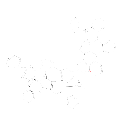 CC1(C)c2ccccc2-c2cc3c4ccccc4n(-c4c(-c5cccc(-c6cccc(-c7ccc8c9c7N(c7ccccc7)c7ccccc7B9c7ccccc7N8c7ccccc7)c6)c5)cccc4-c4nc(-c5ccccc5)nc(-c5ccccc5)n4)c3cc21